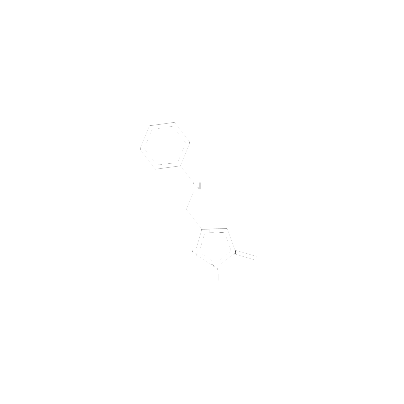 O=c1cc(CNc2ccccc2)[nH][nH]1